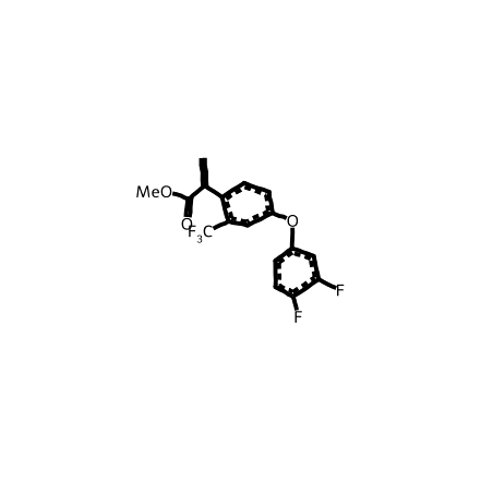 C=C(C(=O)OC)c1ccc(Oc2ccc(F)c(F)c2)cc1C(F)(F)F